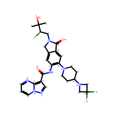 CC(C)(O)[C@H](F)CN1Cc2cc(NC(=O)c3cnn4cccnc34)c(N3CCC(N4CC(F)(F)C4)CC3)cc2C1=O